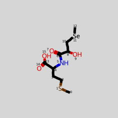 CSCCC(NC(=O)C(O)C[Se]C)C(=O)O